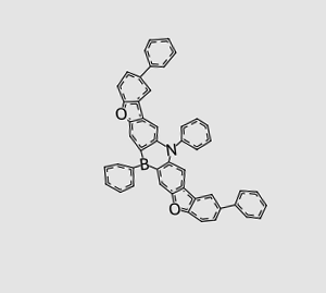 c1ccc(B2c3cc4oc5ccc(-c6ccccc6)cc5c4cc3N(c3ccccc3)c3cc4c(cc32)oc2ccc(-c3ccccc3)cc24)cc1